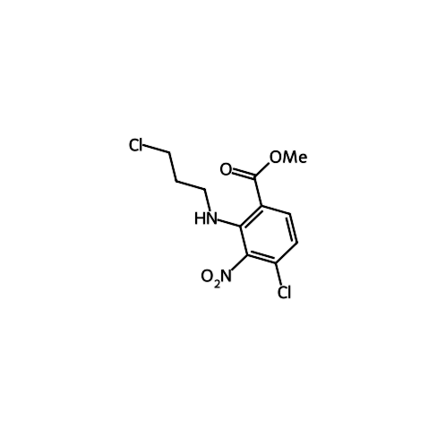 COC(=O)c1ccc(Cl)c([N+](=O)[O-])c1NCCCCl